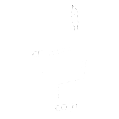 N#[N+]c1ccc(C(=O)O)cc1.[Cl-]